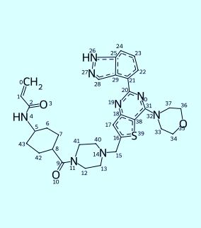 C=CC(=O)NC1CCC(C(=O)N2CCN(Cc3cc4nc(-c5cccc6[nH]ncc56)nc(N5CCOCC5)c4s3)CC2)CC1